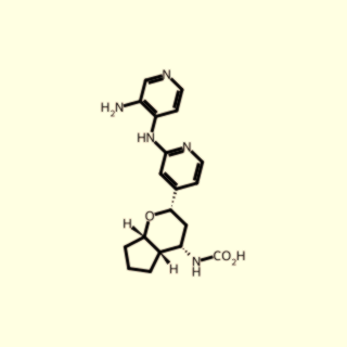 Nc1cnccc1Nc1cc([C@@H]2C[C@H](NC(=O)O)[C@@H]3CCC[C@@H]3O2)ccn1